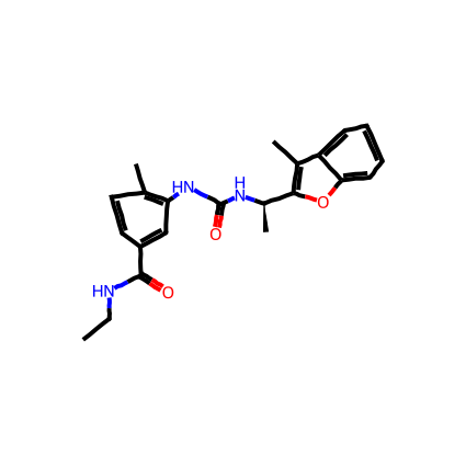 CCNC(=O)c1ccc(C)c(NC(=O)N[C@H](C)c2oc3ccccc3c2C)c1